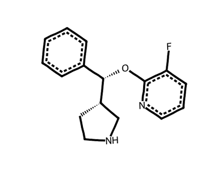 Fc1cccnc1O[C@@H](c1ccccc1)[C@H]1CCNC1